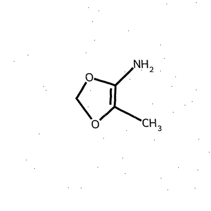 CC1=C(N)OCO1